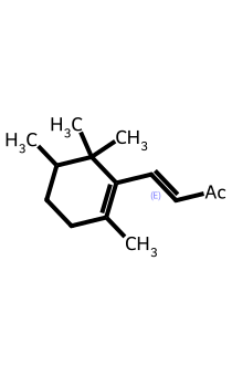 CC(=O)/C=C/C1=C(C)CCC(C)C1(C)C